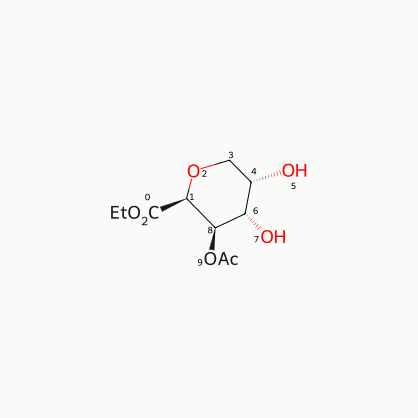 CCOC(=O)[C@H]1OC[C@H](O)[C@H](O)[C@H]1OC(C)=O